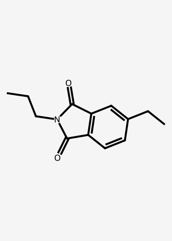 CCCN1C(=O)c2ccc(CC)cc2C1=O